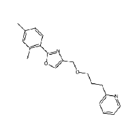 Cc1ccc(-c2nc(COCCCc3ccccn3)co2)c(C)c1